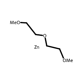 COCCOCCOC.[Zn]